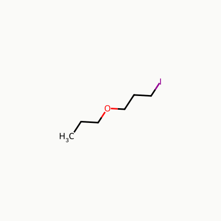 CCCOCCCI